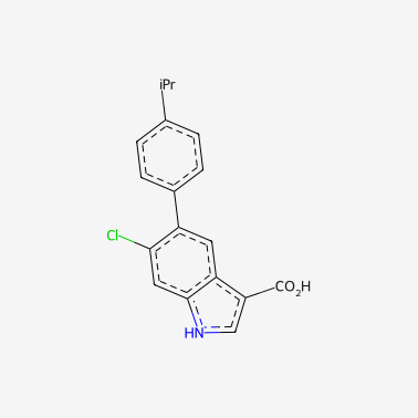 CC(C)c1ccc(-c2cc3c(C(=O)O)c[nH]c3cc2Cl)cc1